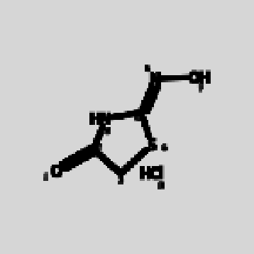 Cl.O=C1CSC(=NO)N1